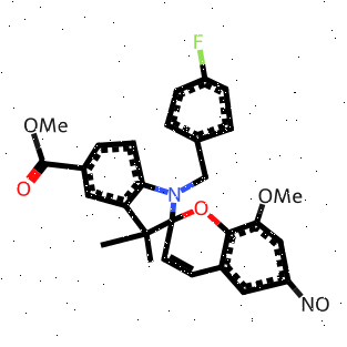 COC(=O)c1ccc2c(c1)C(C)(C)C1(C=Cc3cc(N=O)cc(OC)c3O1)N2Cc1ccc(F)cc1